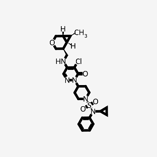 C[C@H]1[C@H]2COC[C@H](CNc3cnn(C4CCN(S(=O)(=O)N(c5ccccc5)C5CC5)CC4)c(=O)c3Cl)[C@H]12